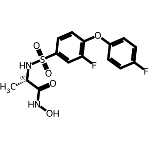 C[C@H](NS(=O)(=O)c1ccc(Oc2ccc(F)cc2)c(F)c1)C(=O)NO